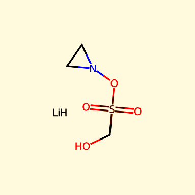 O=S(=O)(CO)ON1CC1.[LiH]